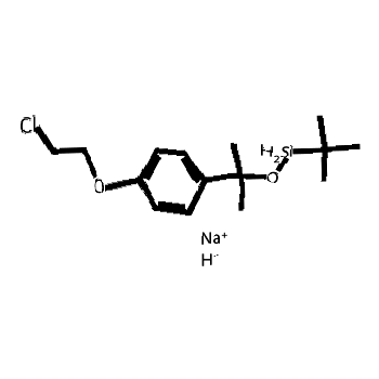 CC(C)(C)[SiH2]OC(C)(C)c1ccc(OCCCl)cc1.[H-].[Na+]